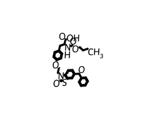 CCCCOC(=O)NC(Cc1ccc(OCCn2c(=O)sc3cc(C(=O)c4ccccc4)ccc32)cc1)C(=O)O